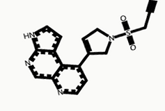 N#CCS(=O)(=O)N1CC=C(c2ccnc3cnc4[nH]ccc4c23)C1